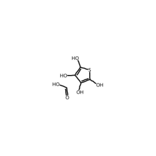 O=CO.Oc1sc(O)c(O)c1O